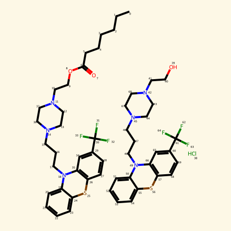 CCCCCCC(=O)OCCN1CCN(CCCN2c3ccccc3Sc3ccc(C(F)(F)F)cc32)CC1.Cl.OCCN1CCN(CCCN2c3ccccc3Sc3ccc(C(F)(F)F)cc32)CC1